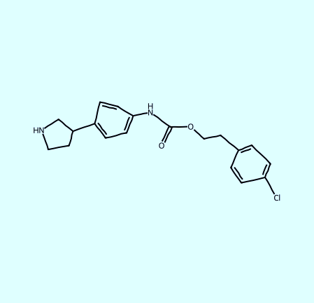 O=C(Nc1ccc(C2CCNC2)cc1)OCCc1ccc(Cl)cc1